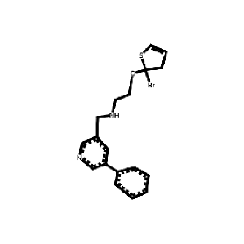 BrC1(OCCNCc2cncc(-c3ccccc3)c2)CC=CS1